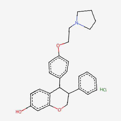 Cl.Oc1ccc2c(c1)OCC(c1ccccc1)C2c1ccc(OCCN2CCCC2)cc1